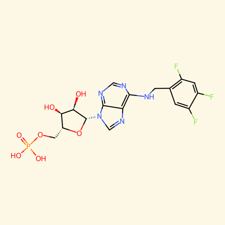 O=P(O)(O)OC[C@H]1O[C@@H](n2cnc3c(NCc4cc(F)c(F)cc4F)ncnc32)[C@H](O)[C@@H]1O